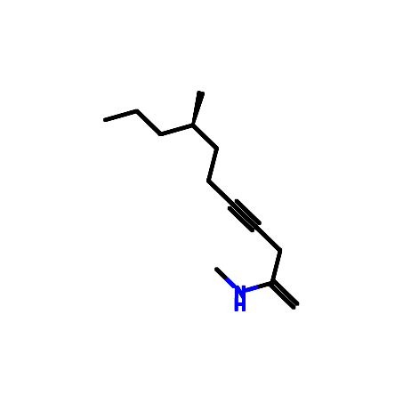 C=C(CC#CCC[C@H](C)CCC)NC